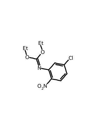 CCOC(=Nc1cc(Cl)ccc1[N+](=O)[O-])OCC